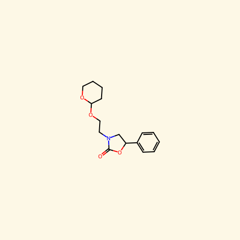 O=C1OC(c2ccccc2)CN1CCOC1CCCCO1